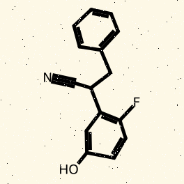 N#CC(Cc1ccccc1)c1cc(O)ccc1F